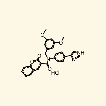 COc1cc(CN(C(=O)c2cc3ccccc3oc2=O)c2ccc(-c3c[nH]cn3)cc2)cc(OC)c1.Cl